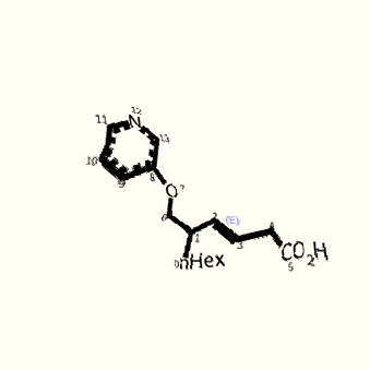 CCCCCCC(/C=C/CC(=O)O)COc1cccnc1